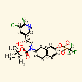 CC(C)(C)OC(=O)N(C[C@H](O)c1cnc(Cl)c(Cl)c1)C1CCc2ccc(OS(=O)(=O)C(F)(F)F)cc2C1